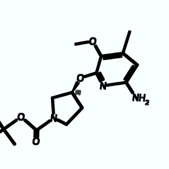 COc1c(C)cc(N)nc1O[C@H]1CCN(C(=O)OC(C)(C)C)C1